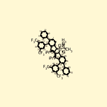 CC(C)CC1=Cc2c(ccc(-c3ccccc3)c2-c2cc(C(F)(F)F)cc(C(F)(F)F)c2)[CH]1[Zr]([Cl])([Cl])([CH]1C(CC(C)C)=Cc2c1ccc(-c1ccccc1)c2-c1cc(C(F)(F)F)cc(C(F)(F)F)c1)[SiH](C)C